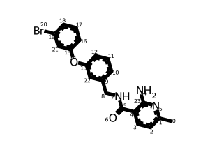 Cc1ccc(C(=O)NCc2cccc(Oc3cccc(Br)c3)c2)c(N)n1